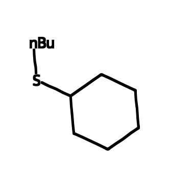 CCCCSC1CCCCC1